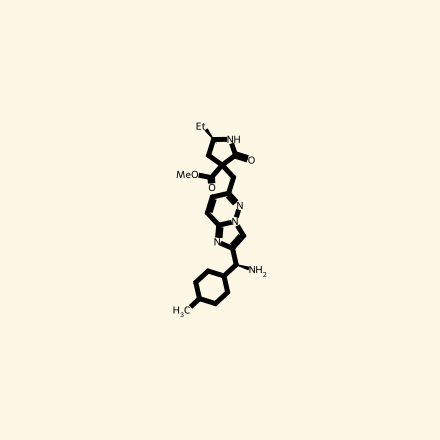 CC[C@@H]1CC(Cc2ccc3nc([C@@H](N)C4CCC(C)CC4)cn3n2)(C(=O)OC)C(=O)N1